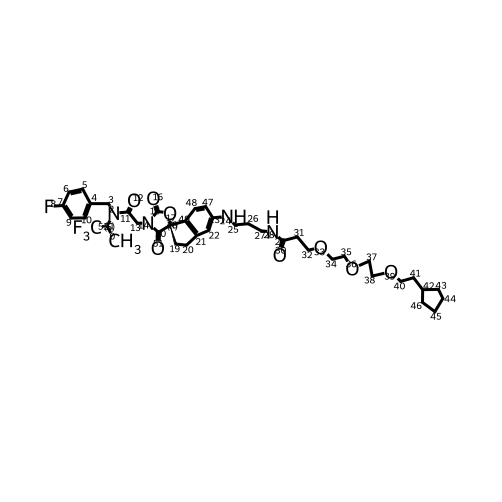 C[C@H](N(Cc1ccc(F)cc1)C(=O)CN1C(=O)O[C@@]2(CCc3cc(NCCCNC(=O)CCOCCOCCOCCC4CCCC4)ccc32)C1=O)C(F)(F)F